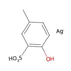 Cc1ccc(O)c(S(=O)(=O)O)c1.[Ag]